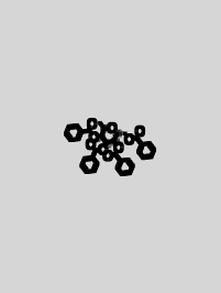 C[C@H]1O[C@H](COC(=O)c2ccccc2)[C@@H](OC(=O)c2ccccc2)[C@H](OC(=O)c2ccccc2)[C@@H]1OC(=O)c1ccccc1